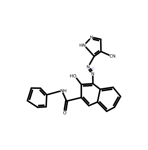 N#Cc1cn[nH]c1/N=N/c1c(O)c(C(=O)Nc2ccccc2)cc2ccccc12